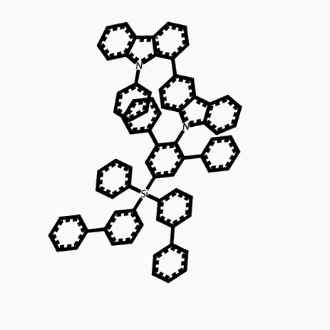 c1ccc(-c2cccc([Si](c3ccccc3)(c3cccc(-c4ccccc4)c3)c3cc(-c4ccccc4)c(-n4c5ccccc5c5cc(-c6cccc7c8ccccc8n(-c8ccccc8)c67)ccc54)c(-c4ccccc4)c3)c2)cc1